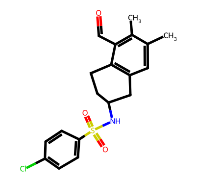 Cc1cc2c(c(C=O)c1C)CCC(NS(=O)(=O)c1ccc(Cl)cc1)C2